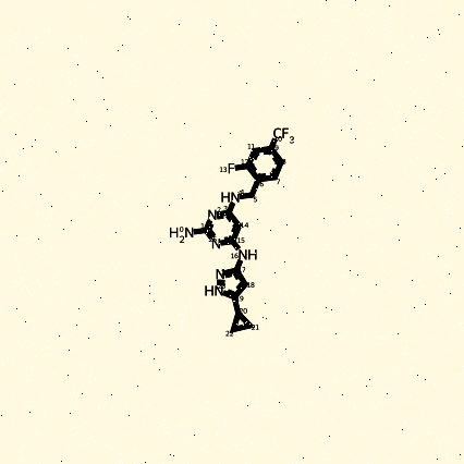 Nc1nc(NCc2ccc(C(F)(F)F)cc2F)cc(Nc2cc(C3CC3)[nH]n2)n1